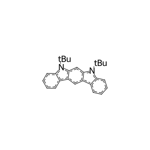 CC(C)(C)n1c2ccccc2c2cc3c4ccccc4n(C(C)(C)C)c3cc21